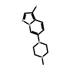 CN1CCN(c2ccc3c(I)cnn3c2)CC1